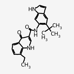 CCc1cccc2c(=O)c(C(=O)Nc3cc4[nH]ccc4cc3C(C)(C)C)c[nH]c12